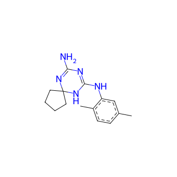 Cc1ccc(C)c(NC2=NC(N)=NC3(CCCC3)N2)c1